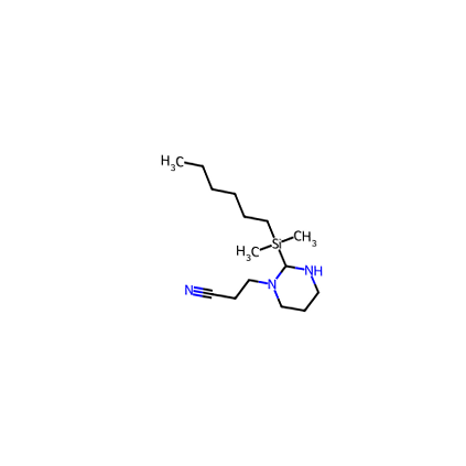 CCCCCC[Si](C)(C)C1NCCCN1CCC#N